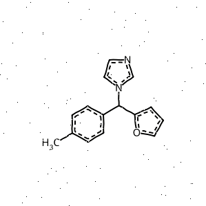 Cc1ccc(C(c2ccco2)n2ccnc2)cc1